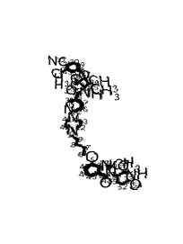 Cc1nc2c(OCCCCCN3CCN(c4ccc(C(=O)N[C@H]5C(C)(C)[C@H](Oc6ccc(C#N)c(Cl)c6)C5(C)C)cn4)CC3)cccc2c(=O)n1C1CCC(=O)NC1=O